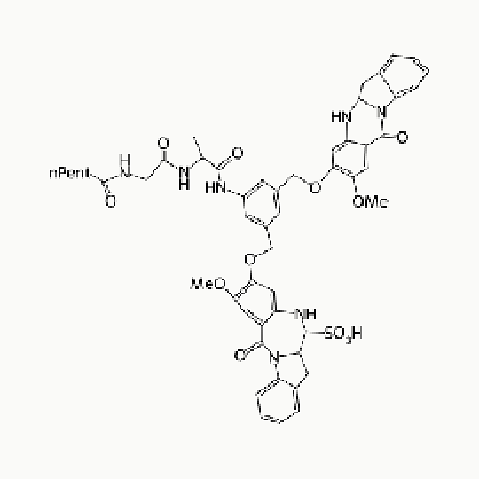 CCCCCC(=O)NCC(=O)NC(C)C(=O)Nc1cc(COc2cc3c(cc2OC)C(=O)N2c4ccccc4CC2N3)cc(COc2cc3c(cc2OC)C(=O)N2c4ccccc4CC2C(S(=O)(=O)O)N3)c1